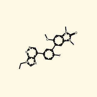 CCn1cnc2c(-c3ccc(F)c(-c4cc5c(cc4OC)n(C)c(=O)n5C)c3)cnnc21